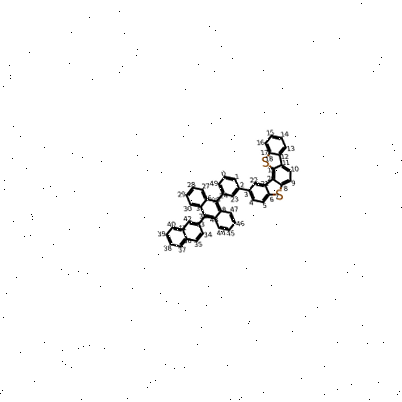 c1cc(-c2ccc3sc4ccc5c6ccccc6sc5c4c3c2)cc(-c2c3ccccc3c(-c3ccc4ccccc4c3)c3ccccc23)c1